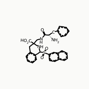 N[C@@H](Cc1ccccc1)C(=O)NCC1(C(=O)O)Cc2ccccc2C(S(=O)(=O)c2ccc3ccccc3c2)N1